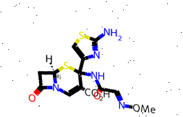 CON=CC(=O)NC1(c2csc(N)n2)S[C@@H]2CC(=O)N2C=C1C(=O)O